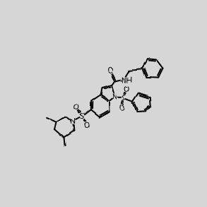 CC1CC(C)CN(S(=O)(=O)c2ccc3c(c2)cc(C(=O)NCc2ccccc2)n3S(=O)(=O)c2ccccc2)C1